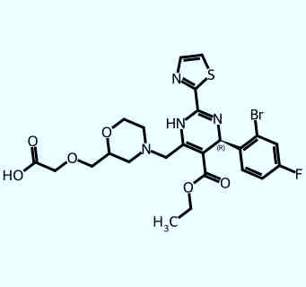 CCOC(=O)C1=C(CN2CCOC(COCC(=O)O)C2)NC(c2nccs2)=N[C@H]1c1ccc(F)cc1Br